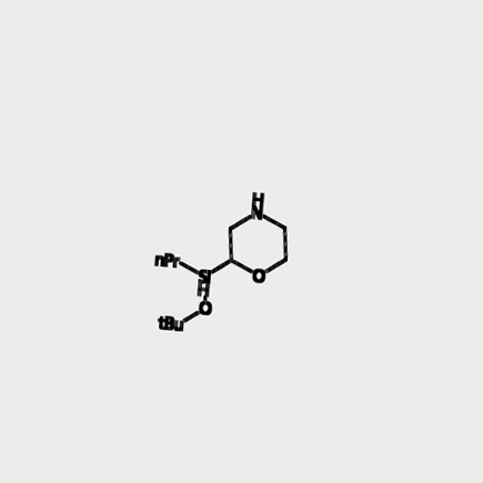 CCC[SiH](OC(C)(C)C)C1CNCCO1